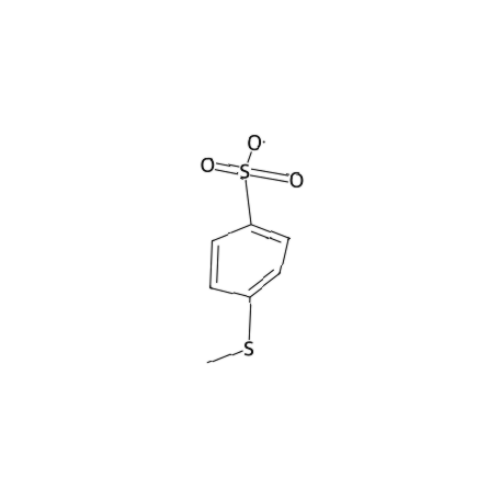 CSc1ccc(S([O])(=O)=O)cc1